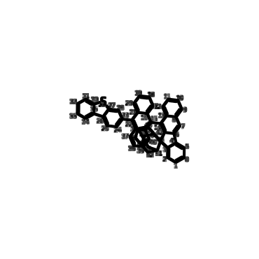 c1ccc2c(c1)-c1cc3ccccc3c(-c3c4ccccc4c(-c4ccc5c(c4)sc4ccccc45)c4ccccc34)c1C21C2CC3CC(C2)CC1C3